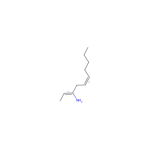 C/C=C(\N)C/C=C\CCCC